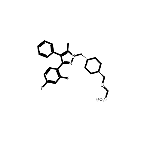 Cc1c(-c2ccccc2)c(-c2ccc(F)cc2F)nn1C[C@H]1CC[C@H](COCC(=O)O)CC1